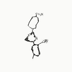 CCOC(=O)C1CCN(c2nc(-c3cc(C)ccc3O)cs2)CC1